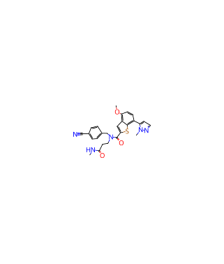 CNC(=O)CCN(Cc1ccc(C#N)cc1)C(=O)c1cc2c(OC)ccc(-c3ccnn3C)c2s1